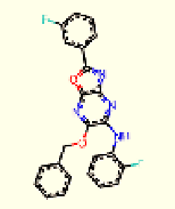 Fc1cccc(-c2nc3nc(Nc4ccccc4F)c(OCc4ccccc4)nc3o2)c1